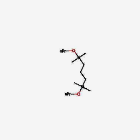 CCCO[Si](C)(C)CCC[Si](C)(C)OCCC